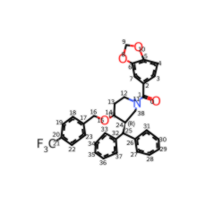 O=C(c1ccc2c(c1)OCO2)N1CC[C@H](OCc2ccc(C(F)(F)F)cc2)[C@H](C(c2ccccc2)c2ccccc2)C1